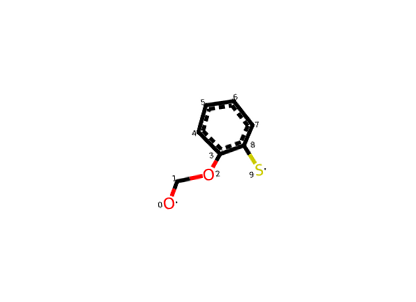 [O]COc1ccccc1[S]